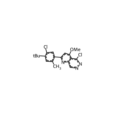 COc1cc(-c2cc(Cl)c(C(C)(C)C)cc2C)nc2cnnc(Cl)c12